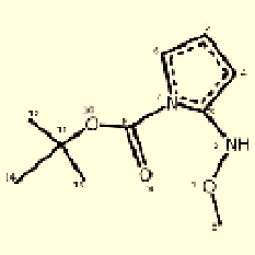 CONc1cccn1C(=O)OC(C)(C)C